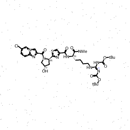 CNC(=O)[C@H](CCCCN/C(=N\C(=O)OC(C)(C)C)NC(=O)OC(C)(C)C)NC(=O)c1csc([C@H]2C[C@H](O)CN2C(=O)c2cn3cc(Cl)ccc3n2)n1